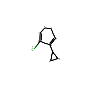 ClC1=CC[CH]C=C1C1CC1